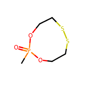 CP1(=O)OCCSSCCO1